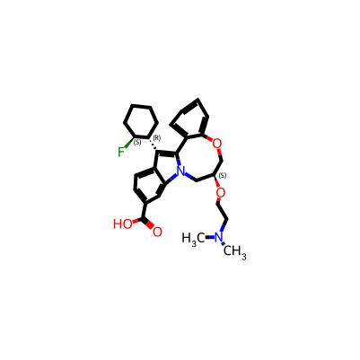 CN(C)CCO[C@@H]1COc2ccccc2-c2c([C@H]3CCCC[C@@H]3F)c3ccc(C(=O)O)cc3n2C1